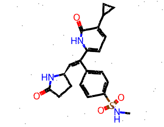 CNS(=O)(=O)c1ccc(/C(=C\[C@H]2CCC(=O)N2)c2ccc(C3CC3)c(=O)[nH]2)cc1